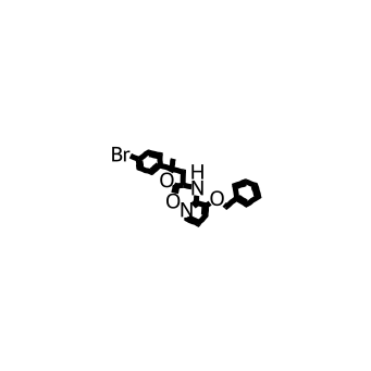 CC1(c2ccc(Br)cc2)CC(Nc2ncccc2OCc2ccccc2)C(=O)O1